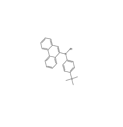 CC(C)N(c1ccc([Si](C)(C)C)cc1)c1cc2ccccc2c2ccccc12